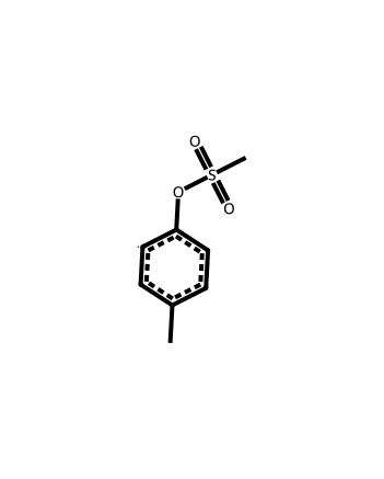 Cc1c[c]c(OS(C)(=O)=O)cc1